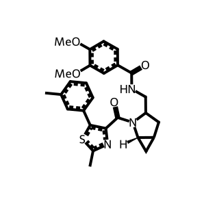 COc1ccc(C(=O)NCC2CC3C[C@@H]3N2C(=O)c2nc(C)sc2-c2cccc(C)c2)cc1OC